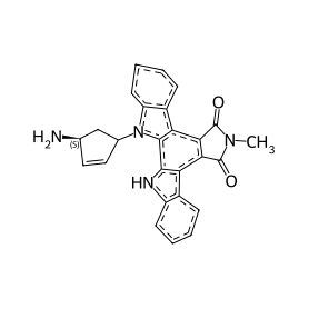 CN1C(=O)c2c(c3c4ccccc4n(C4C=C[C@@H](N)C4)c3c3[nH]c4ccccc4c23)C1=O